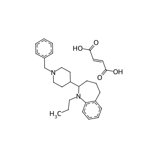 CCCN1c2ccccc2CCCC1C1CCN(Cc2ccccc2)CC1.O=C(O)C=CC(=O)O